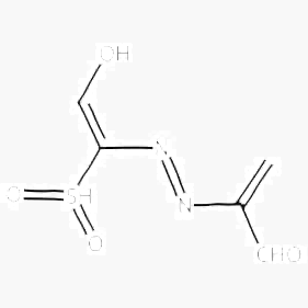 C=C(C=O)/N=N/C(=C\O)[SH](=O)=O